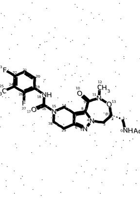 CC(=O)NC[C@@H]1Cn2nc3c(c2C(=O)N(C)O1)CN(C(=O)Nc1ccc(F)c(C(F)(F)F)c1F)CC3